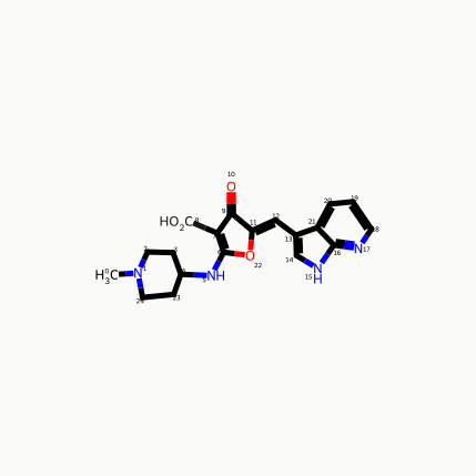 CN1CCC(NC2=C(C(=O)O)C(=O)/C(=C/c3c[nH]c4ncccc34)O2)CC1